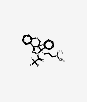 CN(C)CCC[C@@]1(c2ccccc2)[C@H]2COc3ccccc3C2=NN1C(=O)C(F)(F)F